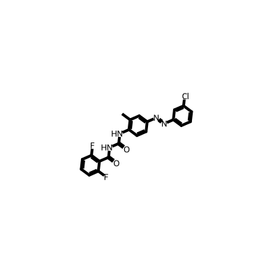 Cc1cc(N=Nc2cccc(Cl)c2)ccc1NC(=O)NC(=O)c1c(F)cccc1F